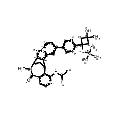 CN1C(=O)c2ccnc(OC(F)F)c2C2CC1c1nn3ccc(-c4cnc(C5(O[Si](C)(C)C(C)(C)C)CC(C)(O)C5)nc4)cc3c12